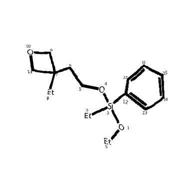 CCO[Si](CC)(OCCC1(CC)COC1)c1ccccc1